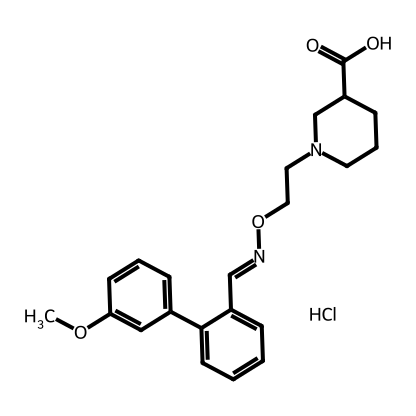 COc1cccc(-c2ccccc2C=NOCCN2CCCC(C(=O)O)C2)c1.Cl